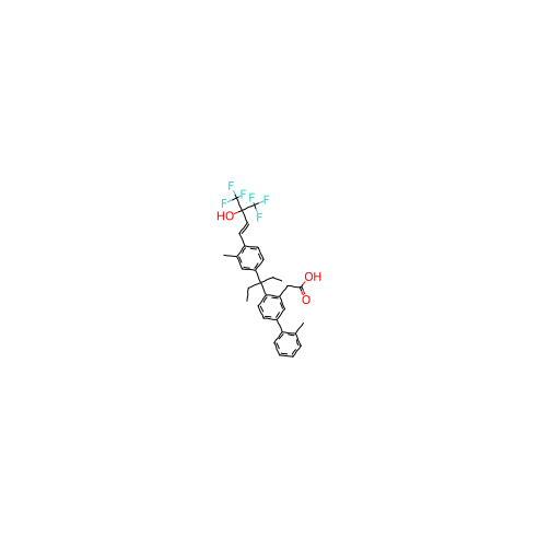 CCC(CC)(c1ccc(C=CC(O)(C(F)(F)F)C(F)(F)F)c(C)c1)c1ccc(-c2ccccc2C)cc1CC(=O)O